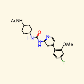 COc1cc(F)ccc1-c1ccnc(NC(=O)NC2CCC(NC(C)=O)CC2)c1